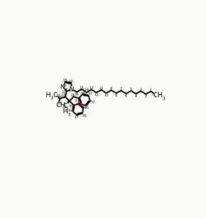 CCCCCCCCCCCCCCCCCn1ccnc1C(C(C)C)C(C)(Cc1ccccc1)c1ccccc1